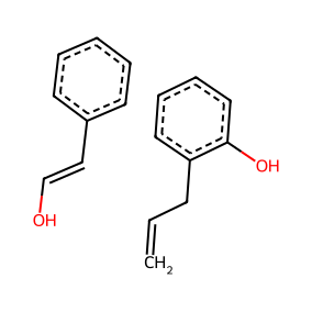 C=CCc1ccccc1O.OC=Cc1ccccc1